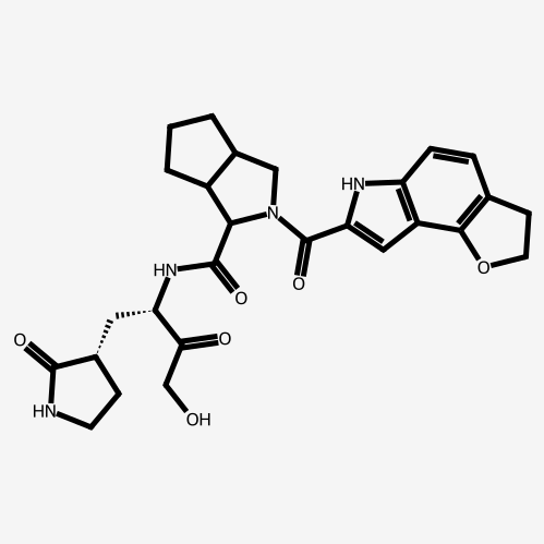 O=C(N[C@@H](C[C@@H]1CCNC1=O)C(=O)CO)C1C2CCCC2CN1C(=O)c1cc2c3c(ccc2[nH]1)CCO3